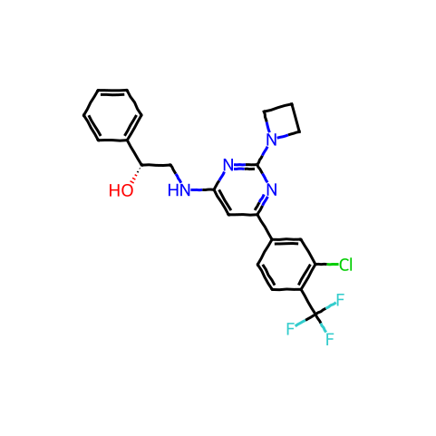 O[C@@H](CNc1cc(-c2ccc(C(F)(F)F)c(Cl)c2)nc(N2CCC2)n1)c1ccccc1